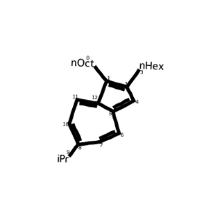 CCCCCCCCc1c(CCCCCC)cc2ccc(C(C)C)ccc1-2